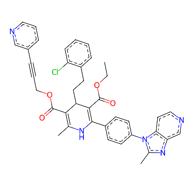 CCOC(=O)C1=C(c2ccc(-n3c(C)nc4cnccc43)cc2)NC(C)=C(C(=O)OCC#Cc2cccnc2)C1CCc1ccccc1Cl